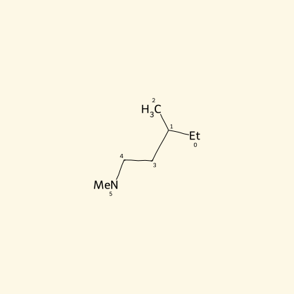 CCC(C)CCNC